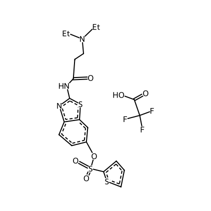 CCN(CC)CCC(=O)Nc1nc2ccc(OS(=O)(=O)c3cccs3)cc2s1.O=C(O)C(F)(F)F